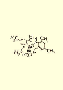 Cc1cc(C)c([NH][Zn][NH]c2c(C)cc(C)cc2C)c(C)c1.Cl